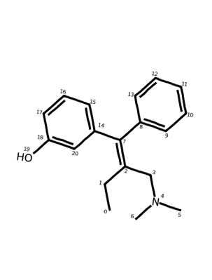 CCC(CN(C)C)=C(c1ccccc1)c1cccc(O)c1